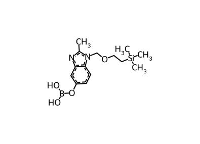 Cc1nc2cc(OB(O)O)ccc2n1COCC[Si](C)(C)C